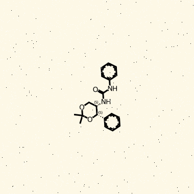 CC1(C)OC[C@H](NC(=O)Nc2ccccc2)[C@H](c2ccccc2)O1